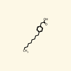 CCCCCCCCCc1ccc(CC(=O)O)cc1